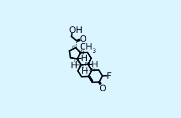 C[C@]12CC[C@H]3[C@@H](CCC4=CC(=O)C(F)C[C@@H]43)[C@@H]1CC[C@@H]2C(=O)CO